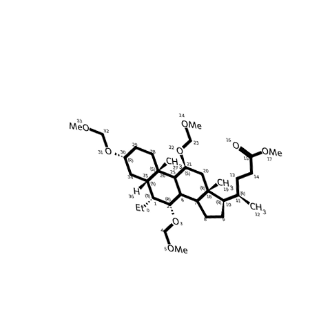 CC[C@H]1[C@@H](OCOC)C2C3CC[C@H]([C@H](C)CCC(=O)OC)[C@@]3(C)C[C@H](OCOC)C2[C@@]2(C)CC[C@@H](OCOC)C[C@@H]12